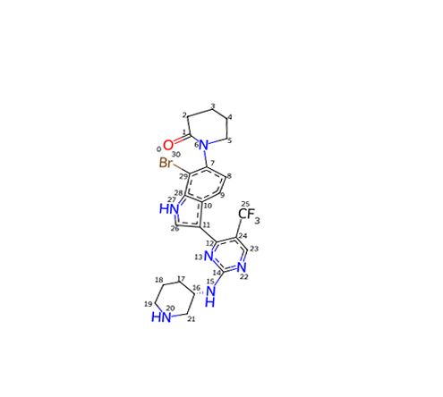 O=C1CCCCN1c1ccc2c(-c3nc(N[C@H]4CCCNC4)ncc3C(F)(F)F)c[nH]c2c1Br